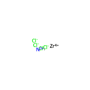 [Cl-].[Cl-].[Cl-].[Cl-].[N+3].[Zr+4]